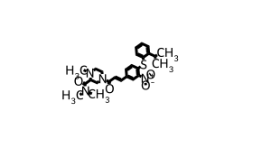 CC(C)c1ccccc1Sc1ccc(C=CC(=O)N2CCN(C)C(C(=O)N(C)C)C2)cc1[N+](=O)[O-]